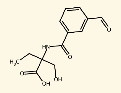 CCC(CO)(NC(=O)c1cccc(C=O)c1)C(=O)O